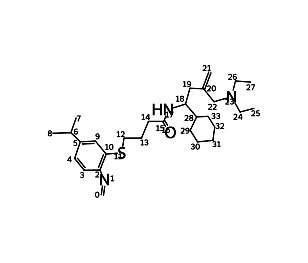 C=Nc1ccc(C(C)C)cc1SCCCC(=O)NC(CC(=C)CN(CC)CC)C1CCCCC1